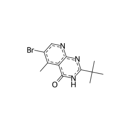 Cc1c(Br)cnc2nc(C(C)(C)C)[nH]c(=O)c12